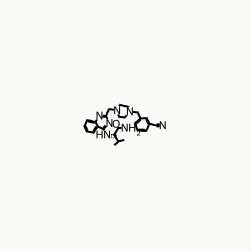 CC(C)[C@H](Nc1nc(CN2CCN(Cc3cccc(C#N)c3)CC2)nc2ccccc12)C(N)=O